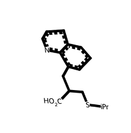 CC(C)SCC(Cc1cccc2cccnc12)C(=O)O